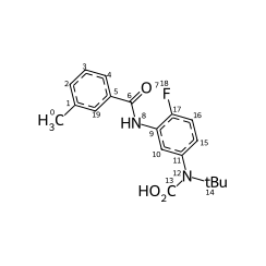 Cc1cccc(C(=O)Nc2cc(N(C(=O)O)C(C)(C)C)ccc2F)c1